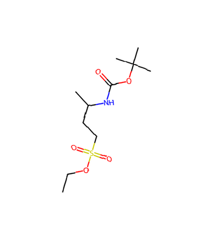 CCOS(=O)(=O)CCC(C)NC(=O)OC(C)(C)C